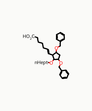 CCCCCCCOC1C(OCc2ccccc2)CC(OCc2ccccc2)C1C=CCCCCC(=O)O